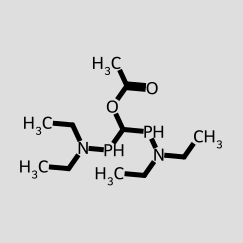 CCN(CC)PC(OC(C)=O)PN(CC)CC